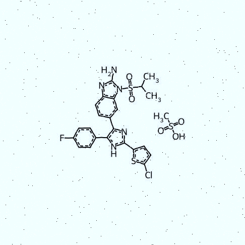 CC(C)S(=O)(=O)n1c(N)nc2ccc(-c3nc(-c4ccc(Cl)s4)[nH]c3-c3ccc(F)cc3)cc21.CS(=O)(=O)O